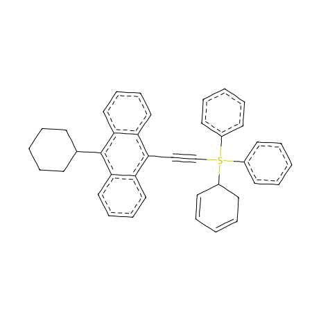 C(#CS(c1ccccc1)(c1ccccc1)C1C=CC=CC1)c1c2ccccc2c(C2CCCCC2)c2ccccc12